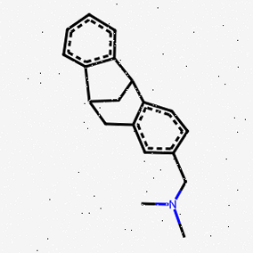 CN(C)Cc1ccc2c(c1)CC1CC2c2ccccc21